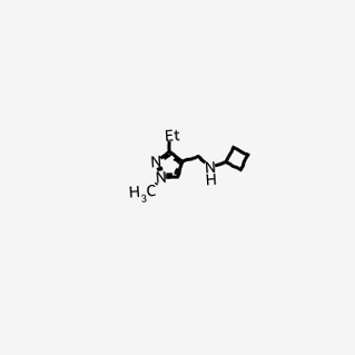 CCc1nn(C)cc1CNC1CCC1